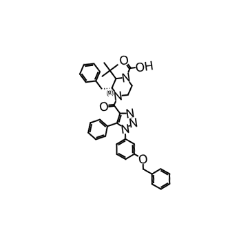 CC(C)(C)C1[C@@H](Cc2ccccc2)N(C(=O)c2nnn(-c3cccc(OCc4ccccc4)c3)c2-c2ccccc2)CCN1C(=O)O